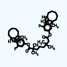 CC(C)(CCCC(C)(C)C(=O)Oc1cc(F)c2c(c1)[C@@]1(C)CCCCC[C@@H](C2)[C@@H]1N)CC(=O)Oc1cc(F)c2c(c1)[C@@]1(C)CCCCC[C@@H](C2)[C@@H]1N